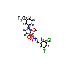 O=C(NCc1cc(F)cc(Cl)c1)O[C@@]1(O)CCN(c2cccc(C(F)(F)F)c2)C1=O